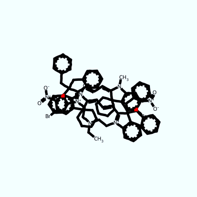 CCN(CC[N+]1=C(/C=C/C=C2/N(C)c3cc([N+](=O)[O-])c(Br)cc3C23CCCCC3)C(Cc2ccccc2)(Cc2ccccc2)c2ccccc21)CC[N+]1=C(/C=C/C=C2/N(C)c3cc([N+](=O)[O-])c(Br)cc3C23CCCCC3)C(Cc2ccccc2)(Cc2ccccc2)c2ccccc21